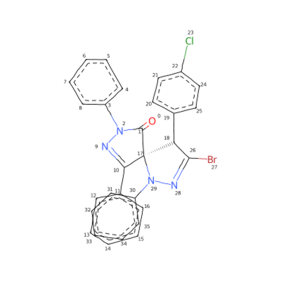 O=C1N(c2ccccc2)N=C(c2ccccc2)[C@@]12C(c1ccc(Cl)cc1)C(Br)=NN2c1ccccc1